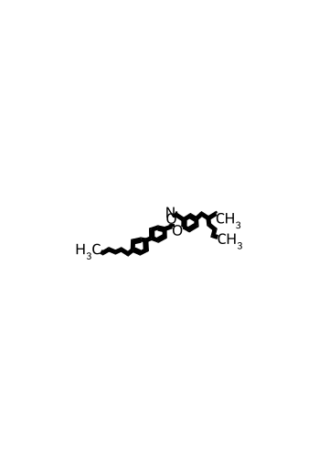 CCCCCCc1ccc(-c2ccc(C(=O)Oc3ccc(CC(CC)CCCC)cc3C#N)cc2)cc1